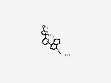 CC1=NC(C)(c2cccc(-c3ccc(OCC(=O)O)c4ccccc34)n2)C=C1